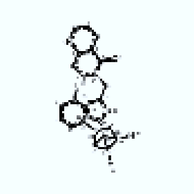 O=c1c2cccnc2cnn1Cc1nc([C@@]23C4[C@H]2[C@H]3CN4c2cccc(F)c2)no1